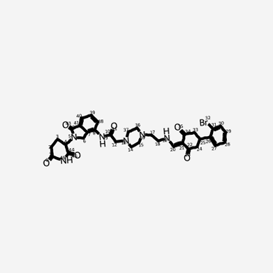 O=C1CCC(N2Cc3c(NC(=O)CN4CCN(CCNC=C5C(=O)CC(c6ccccc6Br)CC5=O)CC4)cccc3C2=O)C(=O)N1